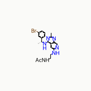 CC(=O)NCCNc1cc2c(N[C@H](C)c3cccc(Br)c3)nc(C)nc2cn1